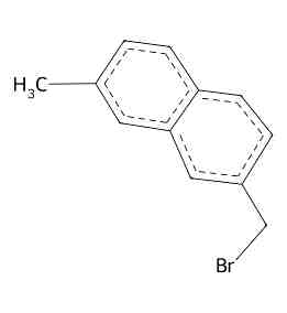 Cc1ccc2ccc(CBr)cc2c1